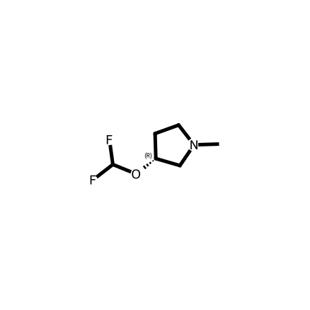 CN1CC[C@@H](OC(F)F)C1